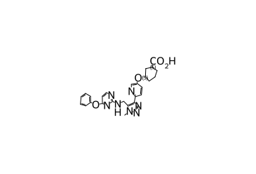 Cn1nnc(-c2ccc(O[C@H]3CCC[C@H](C(=O)O)C3)cn2)c1CNc1nccc(Oc2ccccc2)n1